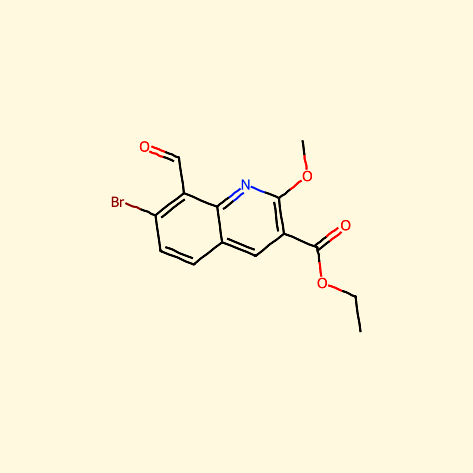 CCOC(=O)c1cc2ccc(Br)c(C=O)c2nc1OC